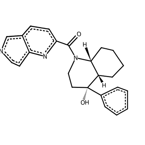 O=C(c1ccc2cnccc2n1)N1CC[C@](O)(c2ccccc2)[C@H]2CCCC[C@H]21